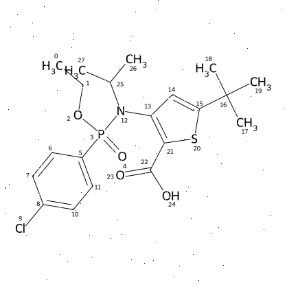 CCOP(=O)(c1ccc(Cl)cc1)N(c1cc(C(C)(C)C)sc1C(=O)O)C(C)C